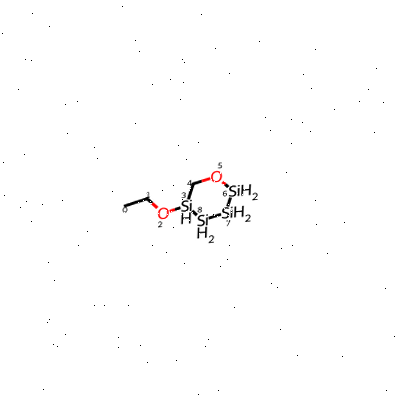 CCO[SiH]1CO[SiH2][SiH2][SiH2]1